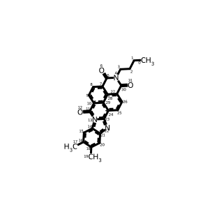 CCCCN1C(=O)c2ccc3c(=O)n4c5cc(C)c(C)cc5nc4c4ccc(c2c34)C1=O